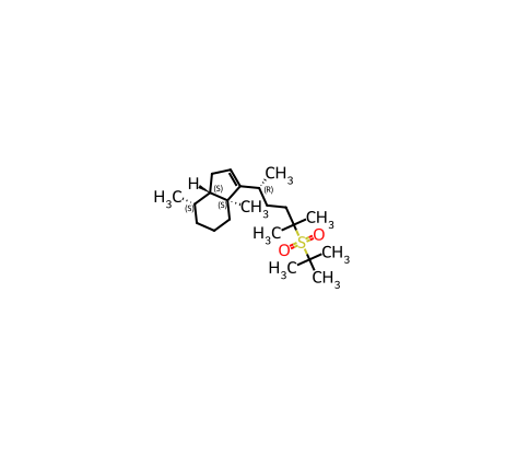 C[C@H](CCC(C)(C)S(=O)(=O)C(C)(C)C)C1=CC[C@H]2[C@@H](C)CCC[C@]12C